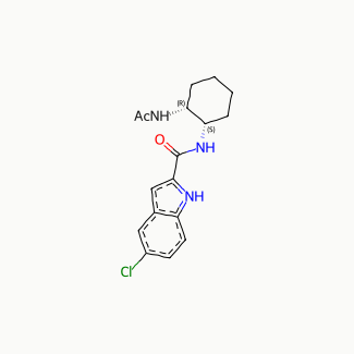 CC(=O)N[C@@H]1CCCC[C@@H]1NC(=O)c1cc2cc(Cl)ccc2[nH]1